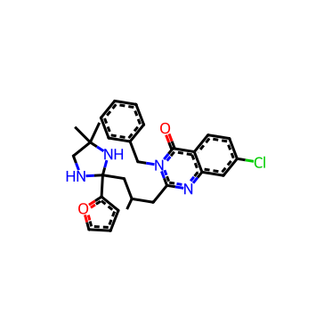 CC(Cc1nc2cc(Cl)ccc2c(=O)n1Cc1ccccc1)CC1(c2ccco2)NCC(C)(C)N1